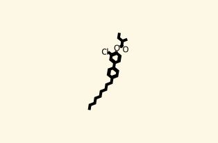 CCCCCCCCCc1ccc(-c2ccc(OC(=O)C(C)CC)c(Cl)c2)cc1